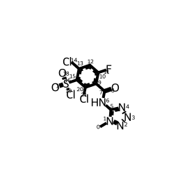 Cn1nnnc1NC(=O)c1c(F)cc(Cl)c(S(=O)(=O)Cl)c1Cl